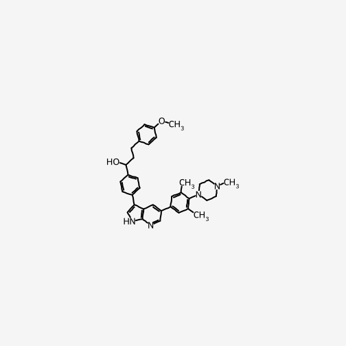 COc1ccc(CCC(O)c2ccc(-c3c[nH]c4ncc(-c5cc(C)c(N6CCN(C)CC6)c(C)c5)cc34)cc2)cc1